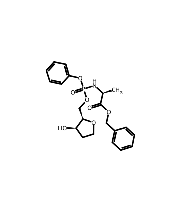 C[C@H](NP(=O)(OC[C@H]1OCC[C@H]1O)Oc1ccccc1)C(=O)OCc1ccccc1